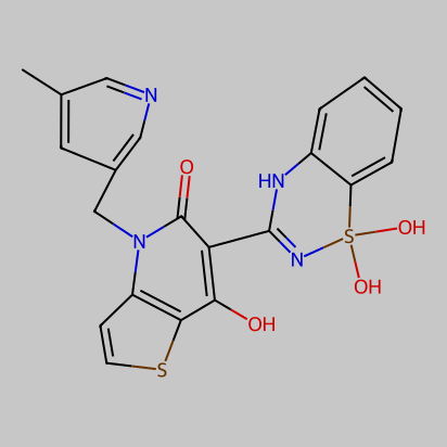 Cc1cncc(Cn2c(=O)c(C3=NS(O)(O)c4ccccc4N3)c(O)c3sccc32)c1